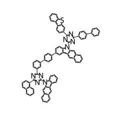 c1ccc(-c2ccc(-c3nc(-c4ccc5c(c4)sc4ccccc45)nc(-n4c5ccc(-c6ccc(-c7cccc(-c8nc(-c9cccc%10ccccc9%10)nc(-n9c%10ccccc%10c%10cc%11ccccc%11cc%109)n8)c7)cc6)cc5c5cc6ccccc6cc54)n3)cc2)cc1